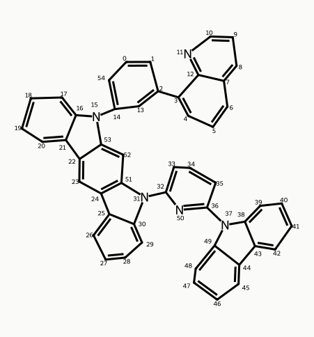 c1cc(-c2cccc3cccnc23)cc(-n2c3ccccc3c3cc4c5ccccc5n(-c5cccc(-n6c7ccccc7c7ccccc76)n5)c4cc32)c1